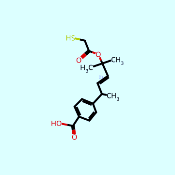 CC(/C=C/C(C)(C)OC(=O)CS)c1ccc(C(=O)O)cc1